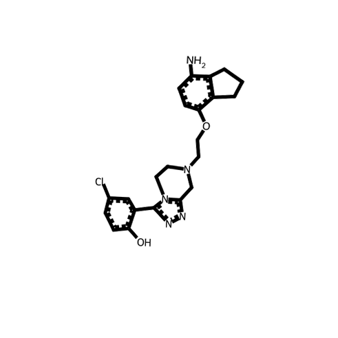 Nc1ccc(OCCN2CCn3c(nnc3-c3cc(Cl)ccc3O)C2)c2c1CCC2